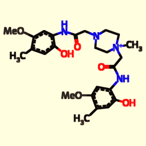 COc1cc(NC(=O)CN2CC[N+](C)(CC(=O)Nc3cc(OC)c(C)cc3O)CC2)c(O)cc1C